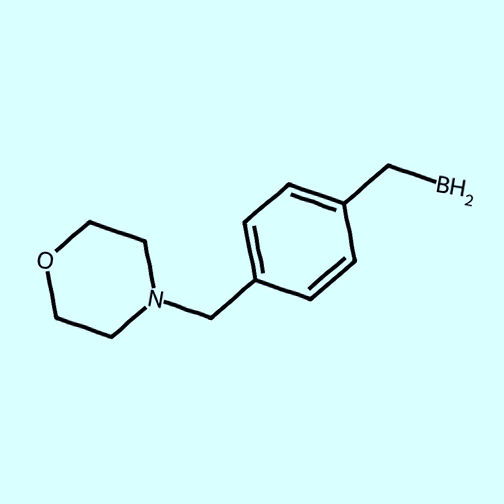 BCc1ccc(CN2CCOCC2)cc1